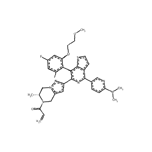 C=CC(=O)N1Cc2cc(-c3nc(-c4ccc(N(C)C)nc4)c4ccsc4c3-c3c(F)cc(F)cc3OCCOC)nn2C[C@H]1C